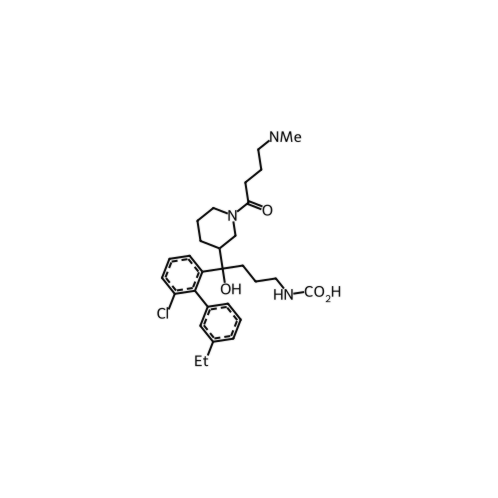 CCc1cccc(-c2c(Cl)cccc2C(O)(CCCNC(=O)O)C2CCCN(C(=O)CCCNC)C2)c1